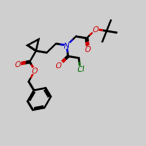 CC(C)(C)OC(=O)CN(CCC1(C(=O)OCc2ccccc2)CC1)C(=O)CCl